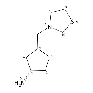 N[C@H]1CCC(CN2CCSC2)C1